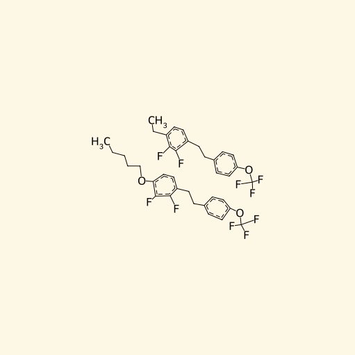 CCCCCOc1ccc(CCc2ccc(OC(F)(F)F)cc2)c(F)c1F.CCc1ccc(CCc2ccc(OC(F)(F)F)cc2)c(F)c1F